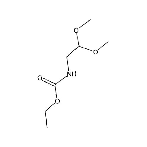 CCOC(=O)NCC(OC)OC